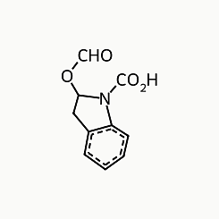 O=COC1Cc2ccccc2N1C(=O)O